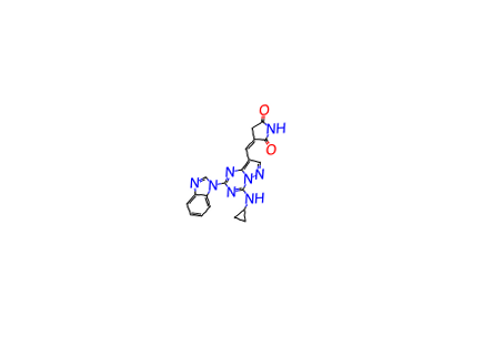 O=C1CC(=Cc2cnn3c(NC4CC4)nc(-n4cnc5ccccc54)nc23)C(=O)N1